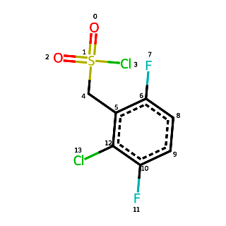 O=S(=O)(Cl)Cc1c(F)ccc(F)c1Cl